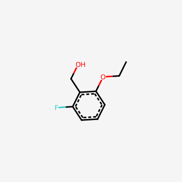 CCOc1cccc(F)c1CO